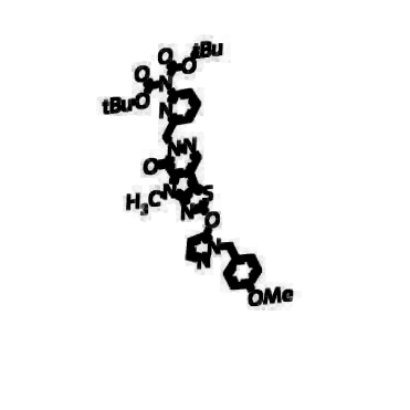 COc1ccc(Cn2nccc2Oc2nc3c(s2)c2cnn(Cc4cccc(N(C(=O)OC(C)(C)C)C(=O)OC(C)(C)C)n4)c(=O)c2n3C)cc1